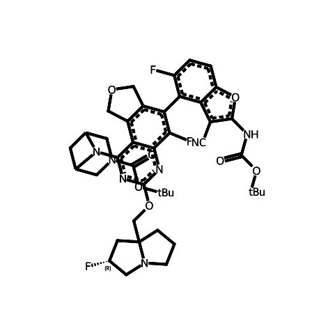 CC(C)(C)OC(=O)Nc1oc2ccc(F)c(-c3c4c(c5c(N6C7CC6CN(C(=O)OC(C)(C)C)C7)nc(OCC67CCCN6C[C@H](F)C7)nc5c3F)COC4)c2c1C#N